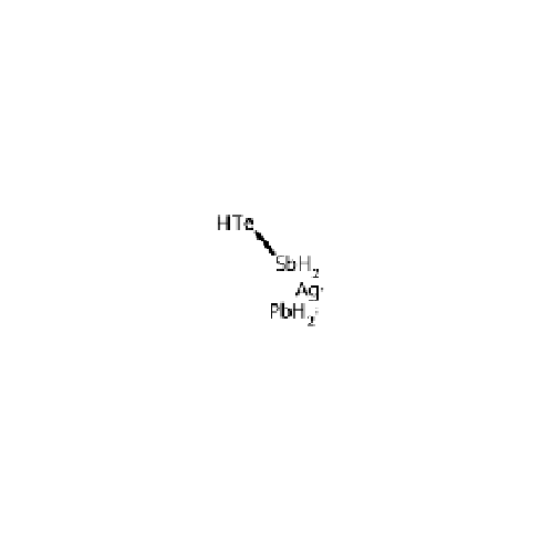 [Ag].[PbH2].[SbH2][TeH]